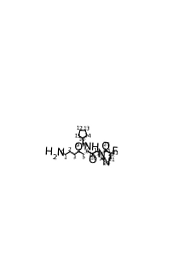 NCCCCC[C@H](NC(=O)C1CCCC1)C(=O)Cn1cncc(F)c1=O